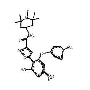 CN1C(C)(C)CC(NC(=O)c2cc(-c3c(O)cc(O)cc3Oc3ccc([N+](=O)[O-])cc3)on2)CC1(C)C